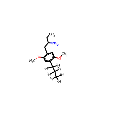 [2H]C([2H])([2H])C([2H])([2H])C([2H])([2H])c1cc(OC)c(CC(N)CC)cc1OC